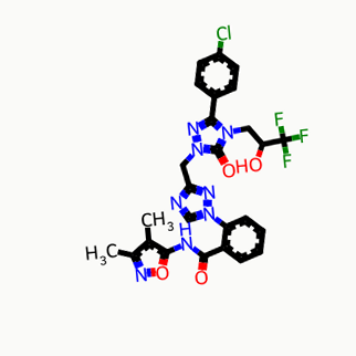 Cc1noc(NC(=O)c2ccccc2-n2cnc(Cn3nc(-c4ccc(Cl)cc4)n(CC(O)C(F)(F)F)c3=O)n2)c1C